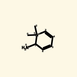 C[N+]1(C)C=CC=CC1N